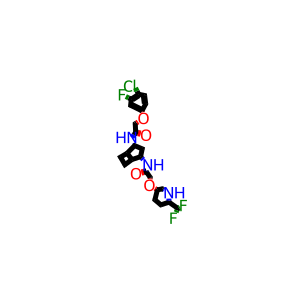 O=C(COC1CCC(C(F)F)NC1)NC1C[C@H](NC(=O)COc2ccc(Cl)c(F)c2)C2CCC12